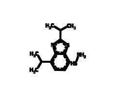 CC(C)c1nc2c(C(C)C)cccc2s1.NS